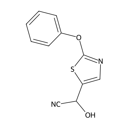 N#CC(O)c1cnc(Oc2ccccc2)s1